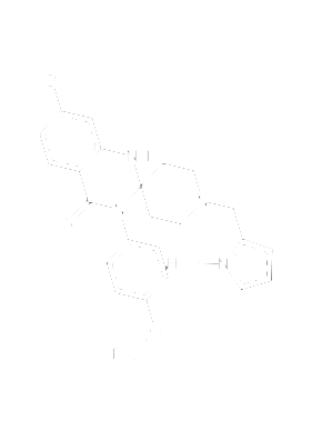 Cn1cccc1CN1CCC2(CC1)Nc1cc(Br)ccc1C(=O)N2c1ccc(OC(F)(F)F)cc1